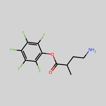 CC(CCN)C(=O)Oc1c(F)c(F)c(F)c(F)c1F